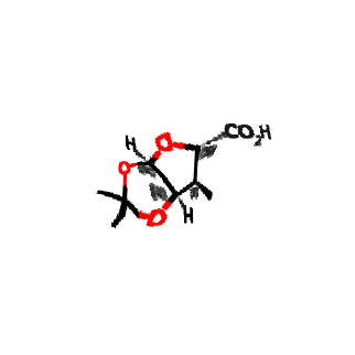 C[C@H]1[C@H]2OC(C)(C)O[C@H]2O[C@@H]1C(=O)O